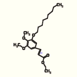 CCCCCCCCCOc1cc(/C=C/C(=O)OCC)cc(OC)c1OC